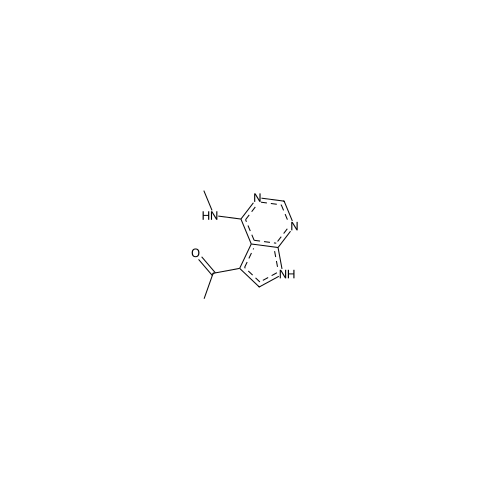 CNc1ncnc2[nH]cc(C(C)=O)c12